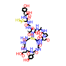 CC(NC(=O)C1CCCN1C(=O)[C@H](CC=O)NC(=O)C1CSSCC(N)C(=O)N[C@@H](C)C(=O)NC(CCC(=O)O)C(=O)N[C@@H](Cc2ccc(O)cc2)C(=O)NC(C)C(=O)N1)C(=O)N[C@@H](C)C(=O)NC(C(=O)NCC(=O)NC(CSSS)C(=O)N[C@@H](Cc1ccc(O)cc1)C(=O)O)[C@H](C)O